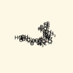 CCc1cccc(CC)c1-n1nc2c(c1-c1ccc(F)c3c1ccn3C(=O)OCOC(=O)c1ccc(COP(=O)(O)O)cc1)CN(Cc1ccc(C(F)(F)F)cc1C(F)(F)F)C2(C)C